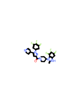 C=C1Nc2cc(F)c(F)c(F)c2N1C1CCN(C(=O)c2cc(-c3ccncc3)n(-c3cc(F)c(F)c(F)c3)n2)CC1